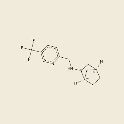 FC(F)(F)c1ccc(CNN2C[C@H]3CC[C@@H]2C3)nc1